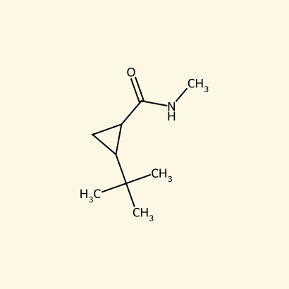 CNC(=O)C1CC1C(C)(C)C